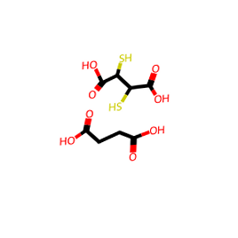 O=C(O)C(S)C(S)C(=O)O.O=C(O)CCC(=O)O